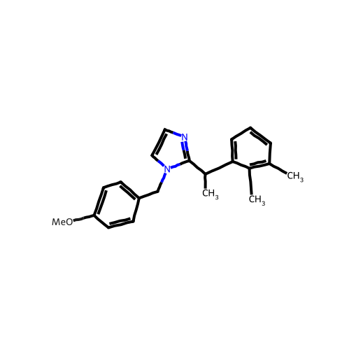 COc1ccc(Cn2ccnc2C(C)c2cccc(C)c2C)cc1